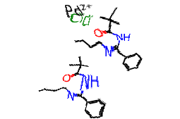 CCCCN=C(NC(=O)C(C)(C)C)c1ccccc1.CCCCN=C(NC(=O)C(C)(C)C)c1ccccc1.[Cl-].[Cl-].[Pd+2]